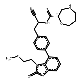 COCCn1c(=O)oc2cccc(-c3ccc(CC(C#N)NC(=O)[C@@H]4CNCCCO4)cc3)c21